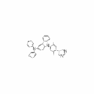 Cc1cc(-n2c3ccccc3c3cc(N(c4ccccc4)c4ccccc4)ccc32)c(C)cc1-c1cncnc1